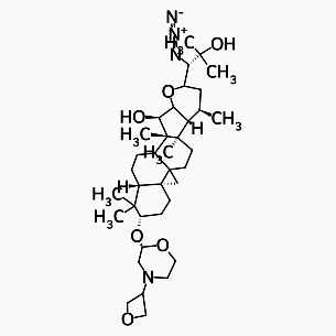 C[C@@H]1CC([C@H](N=[N+]=[N-])C(C)(C)O)OC2[C@H]1[C@@]1(C)CCC34C[C@@]35CC[C@H](O[C@H]3CN(C6COC6)CCO3)C(C)(C)[C@@H]5CCC4[C@]1(C)[C@H]2O